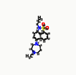 CCN1c2ccc(N3CCCN(C)CC3)c3cccc(c23)S1(=O)=O